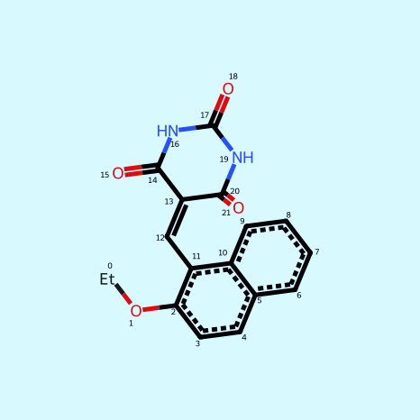 CCOc1ccc2ccccc2c1C=C1C(=O)NC(=O)NC1=O